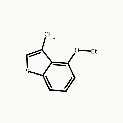 CCOc1cccc2scc(C)c12